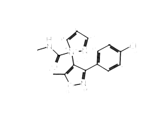 CNC(=O)[N+]1(c2c(-c3ccc(Cl)cc3)noc2C)C=CC=N1